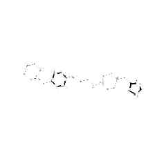 c1nc(CC2CCN(CCCOc3ccc(CN4CCCCC4)cc3)CC2)c[nH]1